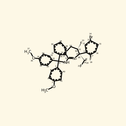 COc1ccc(C(NC2=N[C@@](c3cc(Br)ccc3F)(C(F)F)[C@@H](F)CO2)(c2ccccc2)c2ccc(OC)cc2)cc1